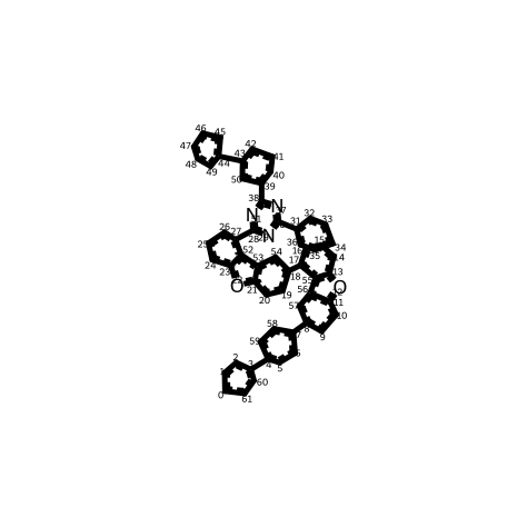 c1ccc(-c2ccc(-c3ccc4oc5cccc(-c6ccc7oc8cccc(-c9nc(-c%10ccccc%10)nc(-c%10cccc(-c%11ccccc%11)c%10)n9)c8c7c6)c5c4c3)cc2)cc1